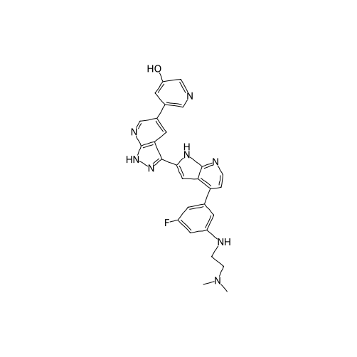 CN(C)CCNc1cc(F)cc(-c2ccnc3[nH]c(-c4n[nH]c5ncc(-c6cncc(O)c6)cc45)cc23)c1